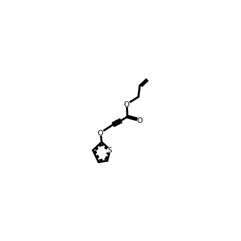 C=CCOC(=O)C#COc1cccs1